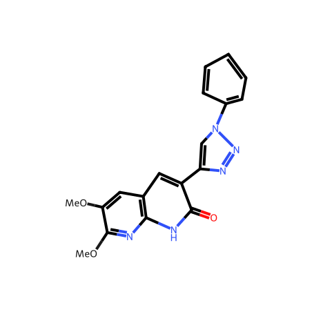 COc1cc2cc(-c3cn(-c4ccccc4)nn3)c(=O)[nH]c2nc1OC